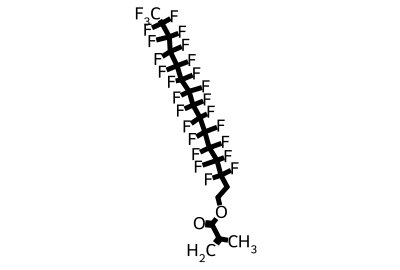 C=C(C)C(=O)OCCC(F)(F)C(F)(F)C(F)(F)C(F)(F)C(F)(F)C(F)(F)C(F)(F)C(F)(F)C(F)(F)C(F)(F)C(F)(F)C(F)(F)C(F)(F)F